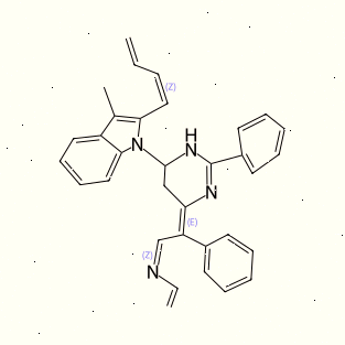 C=C/C=C\c1c(C)c2ccccc2n1C1C/C(=C(\C=N/C=C)c2ccccc2)N=C(c2ccccc2)N1